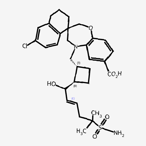 CC(C)(C/C=C/C(O)[C@@H]1CC[C@H]1CN1CC2(CCCc3cc(Cl)ccc32)COc2ccc(C(=O)O)cc21)S(N)(=O)=O